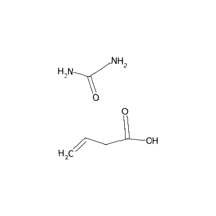 C=CCC(=O)O.NC(N)=O